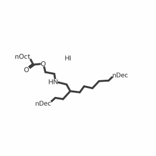 CCCCCCCCCCCCCCCC(CCCCCCCCCCCC)CNCCOC(=O)CCCCCCCC.I